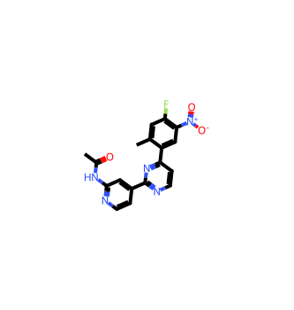 CC(=O)Nc1cc(-c2nccc(-c3cc([N+](=O)[O-])c(F)cc3C)n2)ccn1